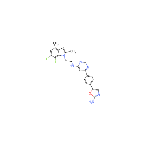 Cc1cc(F)c(F)c2c1cc(C)n2CCNc1cc(-c2ccc(-c3cnc(N)o3)cc2)ncn1